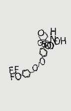 O=C(NO)C1(S(=O)(=O)c2ccc(OCCOCc3ccc(OC(F)(F)F)cc3)cc2)CCOCC1